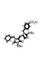 CCCCc1ncc(/C=C2\C(=O)N(CCCC)C(=O)N2CC2CCCCC2)n1Cc1ccc(C(=O)O)cc1